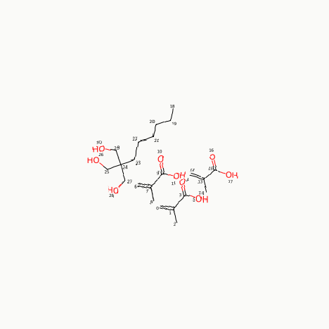 C=C(C)C(=O)O.C=C(C)C(=O)O.C=C(C)C(=O)O.CCCCCCC(CO)(CO)CO